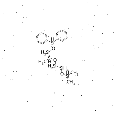 C[SiH](C)O[SiH2][SiH2]O[SiH](C)[SiH2]O[SiH](c1ccccc1)c1ccccc1